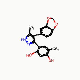 Cc1cc(-c2n[nH]c(C)c2-c2ccc3c(c2)OCO3)c(O)cc1O